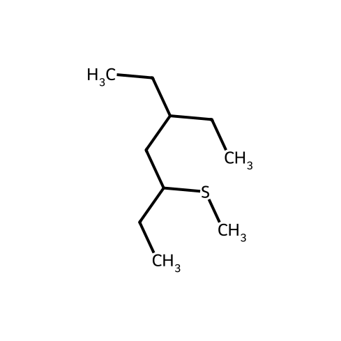 CCC(CC)CC(CC)SC